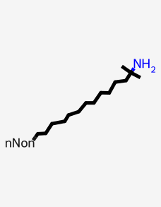 CCCCCCCCCCCCCCCCCCCCCC(C)(C)N